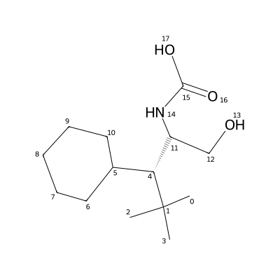 CC(C)(C)[C@H](C1CCCCC1)C(CO)NC(=O)O